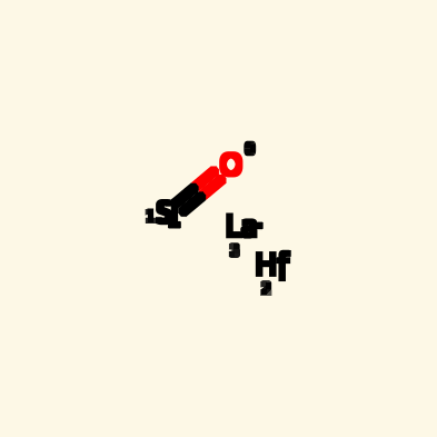 O=[Si].[Hf].[La]